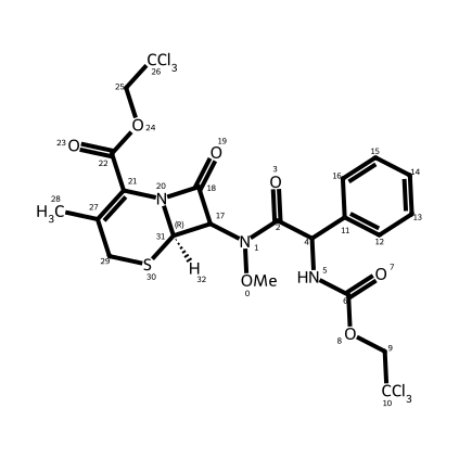 CON(C(=O)C(NC(=O)OCC(Cl)(Cl)Cl)c1ccccc1)C1C(=O)N2C(C(=O)OCC(Cl)(Cl)Cl)=C(C)CS[C@H]12